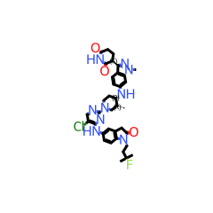 C[C@@H]1CN(c2ncc(Cl)c(Nc3ccc4c(c3)CC(=O)N4CCC(C)(C)F)n2)CC[C@H]1Nc1ccc2c([C@@H]3CCC(=O)NC3=O)nn(C)c2c1